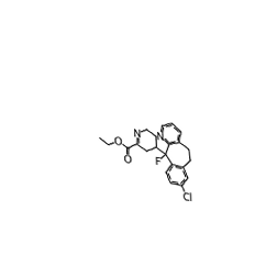 CCOC(=O)C1=NCCC(C2(F)c3ccc(Cl)cc3CCc3cccnc32)C1